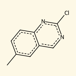 Cc1ccc2nc(Cl)ncc2c1